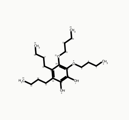 CCCCOc1c(O)c(O)c(CCCC)c(CCCC)c1OCCCC